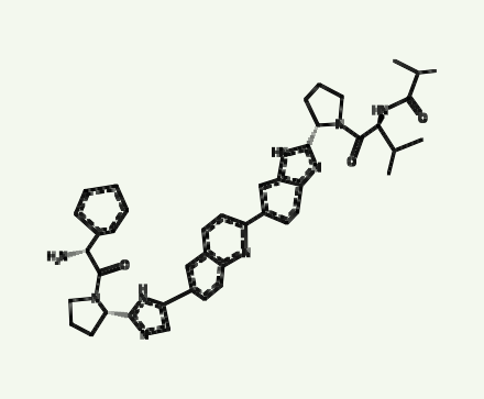 CC(C)C(=O)N[C@H](C(=O)N1CCC[C@H]1c1nc2ccc(-c3ccc4cc(-c5cnc([C@@H]6CCCN6C(=O)[C@H](N)c6ccccc6)[nH]5)ccc4n3)cc2[nH]1)C(C)C